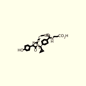 CC(C)(C)C=C=C=C1N=C(c2ccc(O)cc2)C(=O)N1[C@@H](c1ccc(C(=O)NCCC(=O)O)cc1)C1CC1